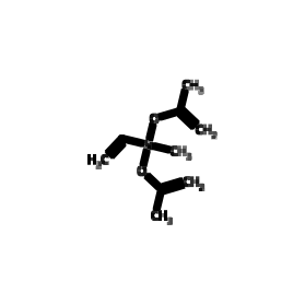 C=C[Si](C)(OC(=C)C)OC(=C)C